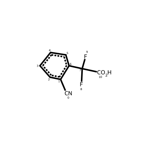 N#Cc1ccccc1C(F)(F)C(=O)O